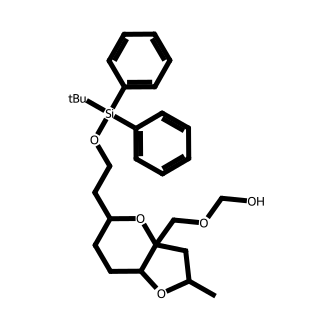 CC1CC2(COCO)OC(CCO[Si](c3ccccc3)(c3ccccc3)C(C)(C)C)CCC2O1